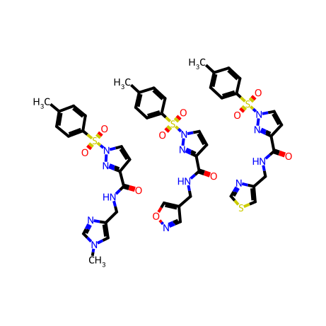 Cc1ccc(S(=O)(=O)n2ccc(C(=O)NCc3cn(C)cn3)n2)cc1.Cc1ccc(S(=O)(=O)n2ccc(C(=O)NCc3cnoc3)n2)cc1.Cc1ccc(S(=O)(=O)n2ccc(C(=O)NCc3cscn3)n2)cc1